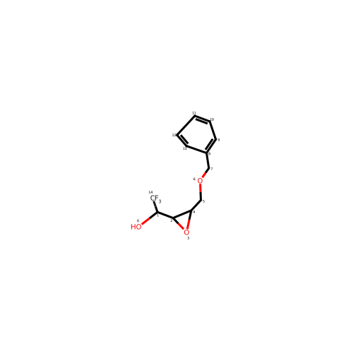 OC(C1OC1COCc1ccccc1)C(F)(F)F